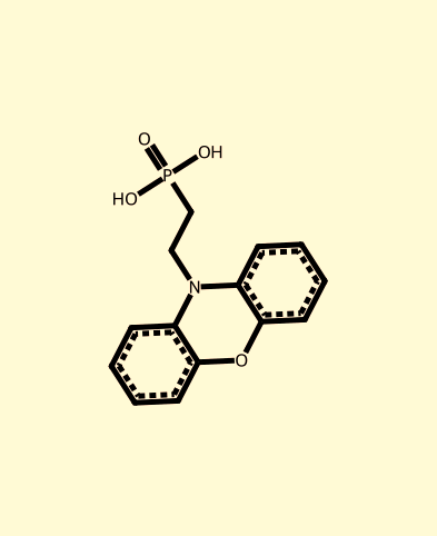 O=P(O)(O)CCN1c2ccccc2Oc2ccccc21